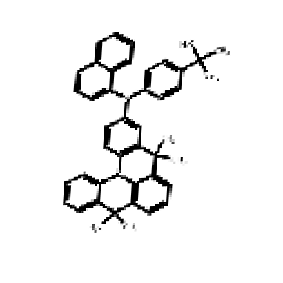 CC(C)(C)c1ccc(N(c2ccc3c(c2)C(C)(C)c2cccc4c2N3c2ccccc2C4(C)C)c2cccc3ccccc23)cc1